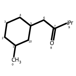 CC1CCCC(CC(=O)C(C)C)C1